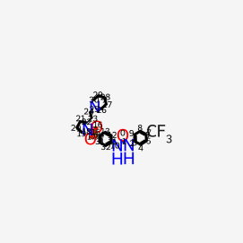 O=C(Nc1ccc(C(F)(F)F)cc1)Nc1ccc(S(=O)(=O)N2CCC[C@H]2CCN2CCCCC2)cc1